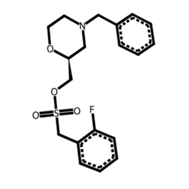 O=S(=O)(Cc1ccccc1F)OC[C@@H]1CN(Cc2ccccc2)CCO1